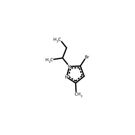 CCC(C)n1nc(C)cc1Br